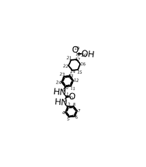 O=C(Nc1ccccc1)Nc1ccc([C@H]2CC[C@@H](C(=O)O)CC2)cc1